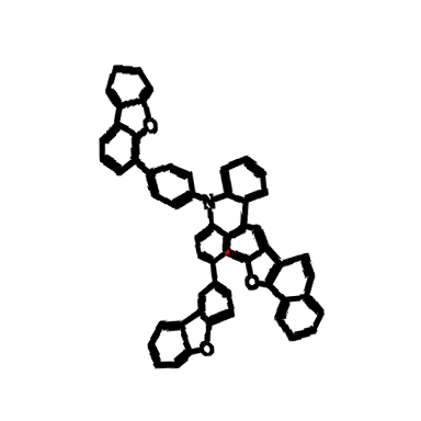 c1ccc(N(c2ccc(-c3ccc4oc5ccccc5c4c3)cc2)c2ccc(-c3cccc4c3oc3ccccc34)cc2)c(-c2ccc3oc4c5ccccc5ccc4c3c2)c1